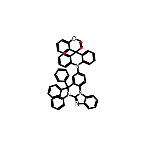 c1ccc(N2c3nc4ccccc4n3-c3ccc(N4c5ccccc5C5(c6ccccc6Oc6ccccc65)c5ccccc54)cc3C2(c2ccccc2)c2ccccc2)cc1